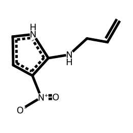 C=CCNc1[nH]ccc1[N+](=O)[O-]